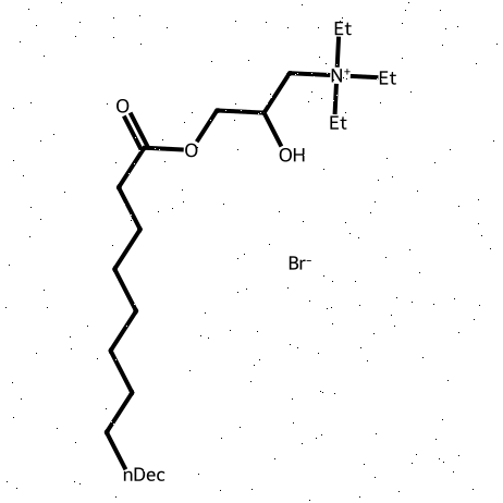 CCCCCCCCCCCCCCCCCC(=O)OCC(O)C[N+](CC)(CC)CC.[Br-]